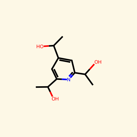 CC(O)c1cc(C(C)O)nc(C(C)O)c1